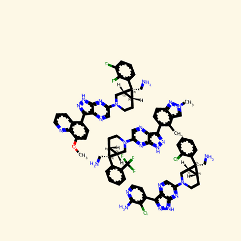 COc1ccc(-c2n[nH]c3nc(N4CC[C@@H]5[C@H](C4)[C@@]5(CN)c4cccc(F)c4F)cnc23)c2cccnc12.Cc1c(-c2n[nH]c3nc(N4CC[C@@H]5[C@H](C4)[C@@]5(CN)c4ccccc4C(F)(F)F)cnc23)ccc2nn(C)cc12.NC[C@]1(c2ccccc2Cl)[C@@H]2CCN(c3cnc4c(-c5ccnc(N)c5Cl)n[nH]c4n3)C[C@@H]21